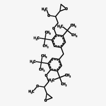 COC(COc1c(C(C)(C)C)cc(Cc2cc(C(C)(C)C)c(OCC(OC)C3CO3)c(C(C)(C)C)c2)cc1C(C)(C)C)C1CO1